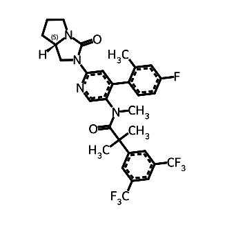 Cc1cc(F)ccc1-c1cc(N2C[C@@H]3CCCN3C2=O)ncc1N(C)C(=O)C(C)(C)c1cc(C(F)(F)F)cc(C(F)(F)F)c1